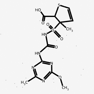 COc1nc(C)nc(NC(=O)NS(=O)(=O)C2(C)C=CSC2C(=O)O)n1